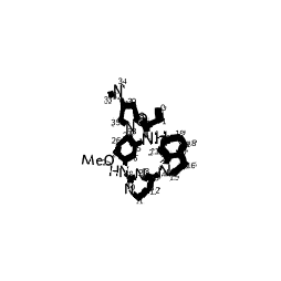 C=CC(=O)Nc1cc(Nc2nccc(-n3ccc4ccccc43)n2)c(OC)cc1N1CCC(N(C)C)C1